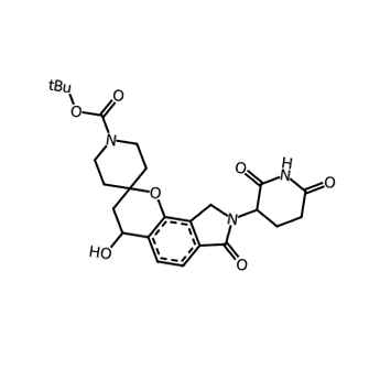 CC(C)(C)OC(=O)N1CCC2(CC1)CC(O)c1ccc3c(c1O2)CN(C1CCC(=O)NC1=O)C3=O